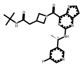 C[C@H](Nc1nc(C(=O)N2CC(CC(=O)NC(C)(C)C)C2)c2sccc2n1)c1cncc(F)c1